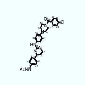 CC(=O)Nc1ccc(-c2ccnc(Nc3ccc(N4CCN(C(=O)c5ccc(Cl)cc5)CC4)cc3)n2)cc1